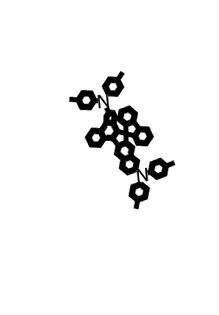 Cc1ccc(N(c2ccc(C)cc2)c2ccc3cc4c(cc3c2)C2(c3ccccc3-c3ccccc32)c2c-4c3ccccc3c3cc(N(c4ccc(C)cc4)c4ccc(C)cc4)ccc23)cc1